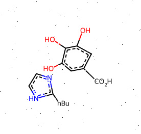 CCCCc1ncc[nH]1.O=C(O)c1cc(O)c(O)c(O)c1